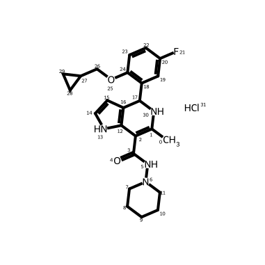 CC1=C(C(=O)NN2CCCCC2)c2[nH]ccc2C(c2cc(F)ccc2OCC2CC2)N1.Cl